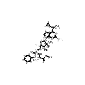 CC(C)OC(=O)[C@H](C)N[P@](=O)(OC[C@@]1(F)O[C@@H](n2cnc3c(N(C)C4CC4)nc(N)nc32)[C@](C)(F)[C@@H]1O)Oc1ccccc1